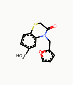 O=C(O)c1ccc2c(c1)N(Cc1ccco1)C(=O)CS2